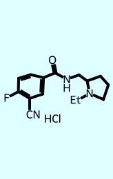 CCN1CCCC1CNC(=O)c1ccc(F)c(C#N)c1.Cl